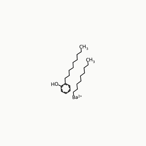 CCCCCCCCCc1ccccc1O.CCCCCCCC[CH2][Ba+2]